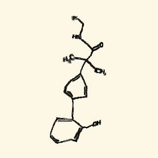 CC(C)CNC(=O)C(C)(C)c1ccc(-c2ccccc2O)cc1